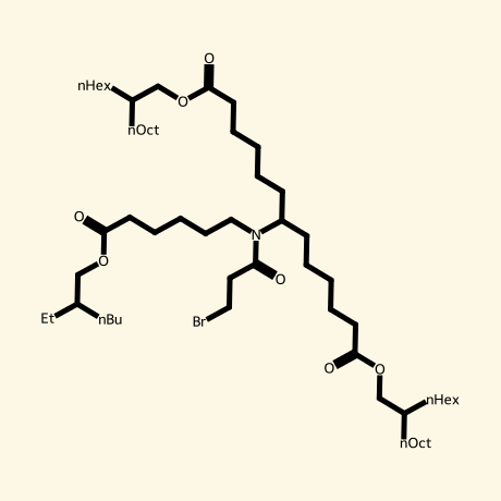 CCCCCCCCC(CCCCCC)COC(=O)CCCCCC(CCCCCC(=O)OCC(CCCCCC)CCCCCCCC)N(CCCCCC(=O)OCC(CC)CCCC)C(=O)CCBr